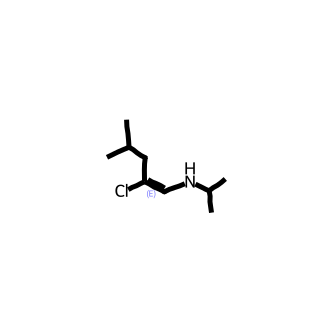 CC(C)C/C(Cl)=C\NC(C)C